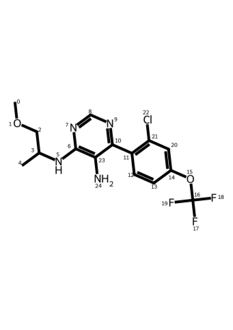 COCC(C)Nc1ncnc(-c2ccc(OC(F)(F)F)cc2Cl)c1N